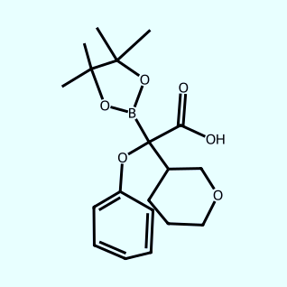 CC1(C)OB(C(Oc2ccccc2)(C(=O)O)C2CCCOC2)OC1(C)C